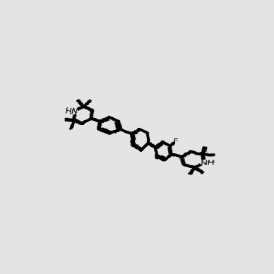 CC1(C)CC(c2ccc(C3CCC(c4ccc(C5CC(C)(C)NC(C)(C)C5)c(F)c4)CC3)cc2)CC(C)(C)N1